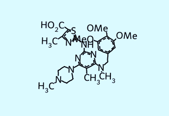 COc1cc(CN(C)c2nc(Nc3nc(C)c(C(=O)O)s3)nc(N3CCN(C)CC3)c2C)cc(OC)c1OC